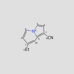 CCc1ccn2ccc(C#N)c2c1